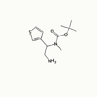 CN(C(=O)OC(C)(C)C)C(CN)c1ccsc1